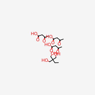 CC(=O)CC(=O)O.CC(=O)CC(=O)O.CC(=O)CC(=O)O.CCC(CO)(CO)CO